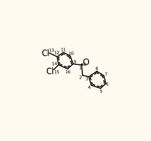 O=C(Cc1ccccc1)c1ccc(Cl)c(Cl)c1